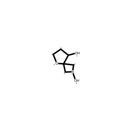 OC1CCOC12CN(O)C2